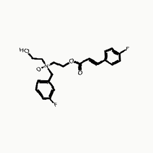 O=C(/C=C/c1ccc(F)cc1)OCC[N@@+]([O-])(CCO)Cc1cccc(F)c1